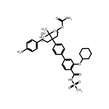 CC(C)(C)C(CCOC(N)=O)(C[C@@H](O)c1ccc(N)cc1)c1ccc(-c2ccc(C(=O)NS(C)(=O)=O)c(OC3CCCCC3)c2)cc1